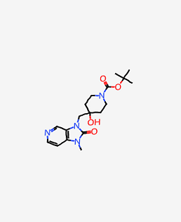 Cn1c(=O)n(CC2(O)CCN(C(=O)OC(C)(C)C)CC2)c2cnccc21